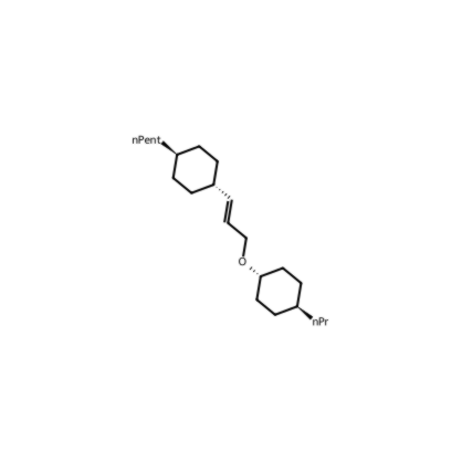 CCCCC[C@H]1CC[C@H](/C=C/CO[C@H]2CC[C@H](CCC)CC2)CC1